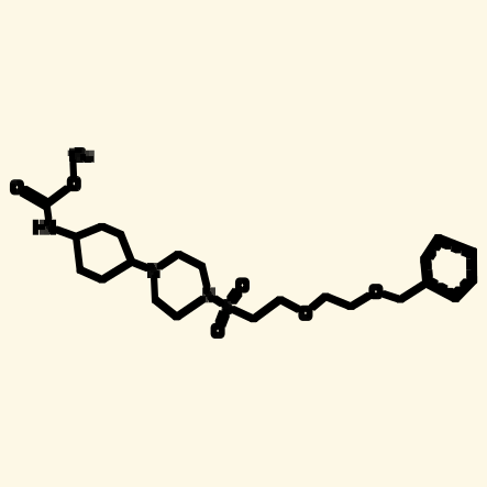 CC(C)(C)OC(=O)NC1CCC(N2CCN(S(=O)(=O)CCOCCOCc3ccccc3)CC2)CC1